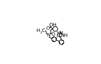 CCCN(Cc1ccc(-c2ccccc2-c2nnn[nH]2)cc1)C(=O)CC1(C(=O)O)CCCCC1